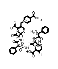 NC(=O)c1cc[n+](CC2=C(C(=O)[O-])N3C(=O)[C@@H](NC(=O)[C@@H](c4ccccc4)S(=O)(=O)O)[C@H]3SC2)cc1.N[C@@H](C(=O)N[C@@H]1C(=O)N2C(C(=O)O)=C(Cl)CS[C@H]12)c1ccccc1